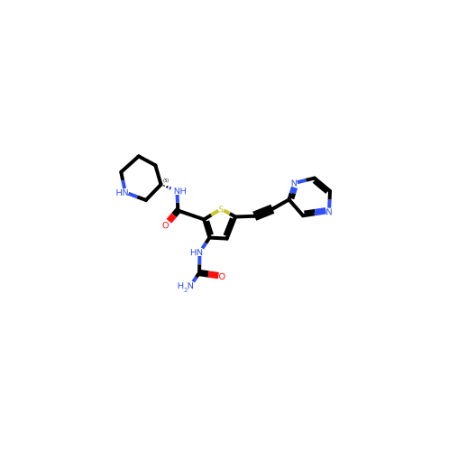 NC(=O)Nc1cc(C#Cc2cnccn2)sc1C(=O)N[C@H]1CCCNC1